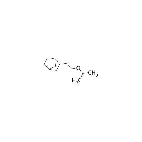 CC(C)OCCC1CC2CCC1C2